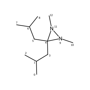 CC(C)CC1(CC(C)C)N(C)N1C